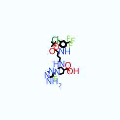 CC(C)(C)OC(=O)C(CCCN[C@H]1CN(c2ncnc(N)c2F)CCC1C(=O)O)Nc1cc(Cl)cc(C(F)(F)F)c1